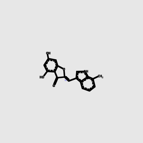 Cc1cccc2c(/C=C3\Oc4cc(O)cc(O)c4C3=O)c[nH]c12